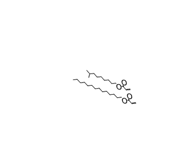 C=CC(=O)OCCCCCCCC(C)C.C=CC(=O)OCCCCCCCCCCCCCC